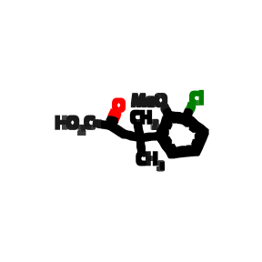 COc1c(Cl)cccc1C(C)(C)CC(=O)C(=O)O